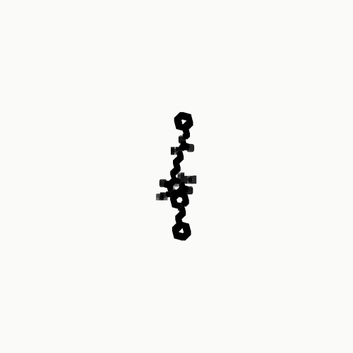 CCCN1C(=O)[C@@H](CCCCNC(=O)OCc2ccccc2)NC(=O)C12CCN(CCc1ccccc1)CC2.Cl